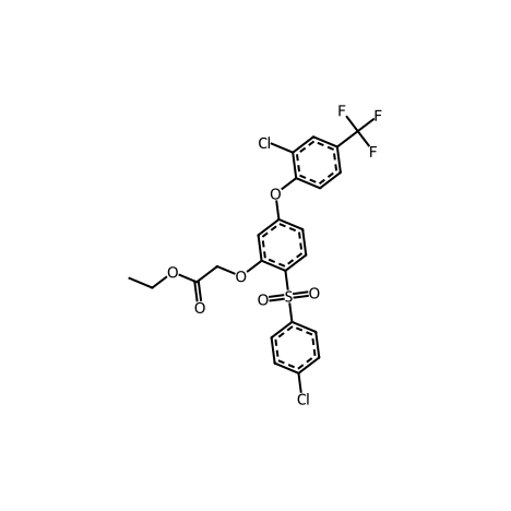 CCOC(=O)COc1cc(Oc2ccc(C(F)(F)F)cc2Cl)ccc1S(=O)(=O)c1ccc(Cl)cc1